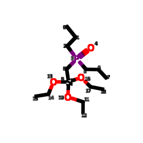 CCCP(=O)(CCC)C[Si](OCC)(OCC)OCC